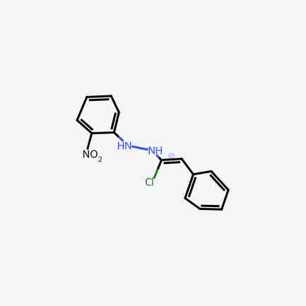 O=[N+]([O-])c1ccccc1NN/C(Cl)=C/c1ccccc1